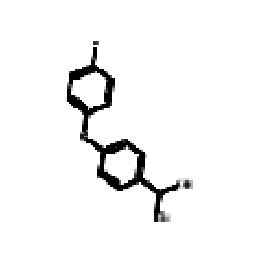 CC(C)(C)C(O)c1ccc(Oc2ccc(F)cc2)cc1